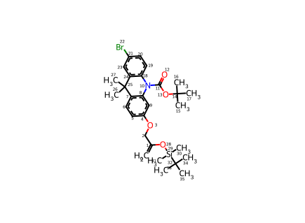 C=C(COc1ccc2c(c1)N(C(=O)OC(C)(C)C)c1ccc(Br)cc1C2(C)C)O[Si](C)(C)C(C)(C)C